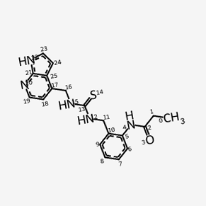 CCC(=O)Nc1ccccc1CNC(=S)NCc1ccnc2[nH]ccc12